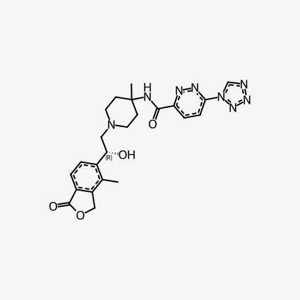 Cc1c([C@@H](O)CN2CCC(C)(NC(=O)c3ccc(-n4cnnn4)nn3)CC2)ccc2c1COC2=O